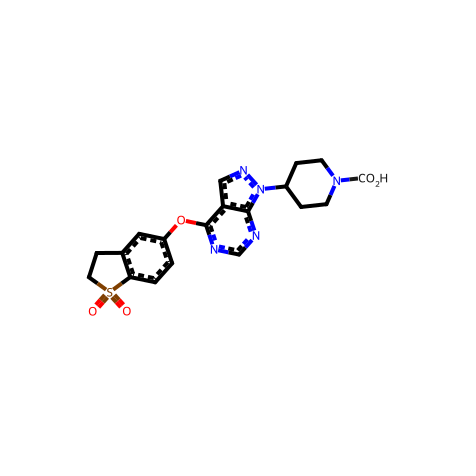 O=C(O)N1CCC(n2ncc3c(Oc4ccc5c(c4)CCS5(=O)=O)ncnc32)CC1